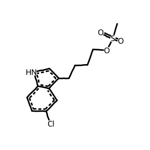 CS(=O)(=O)OCCCCc1c[nH]c2ccc(Cl)cc12